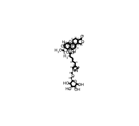 CC(C)[C@]12O[C@H]1[C@@H]1O[C@]13[C@]1(O[C@H]1CC1C4=C(CC[C@@]13C)C(=O)OC4)[C@@H]2OC(=O)CCCCc1cn(COC[C@H]2OC(O)[C@H](O)[C@@H](O)[C@@H]2O)nn1